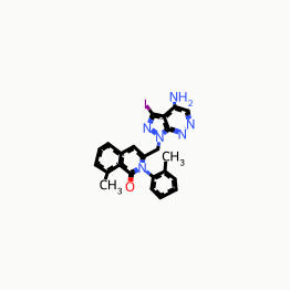 Cc1ccccc1-n1c(Cn2nc(I)c3c(N)cnnc32)cc2cccc(C)c2c1=O